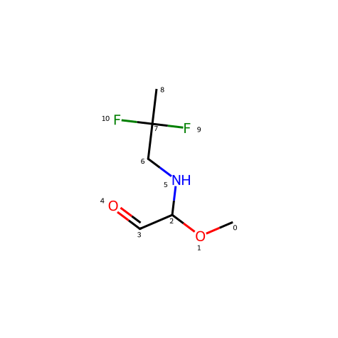 COC(C=O)NCC(C)(F)F